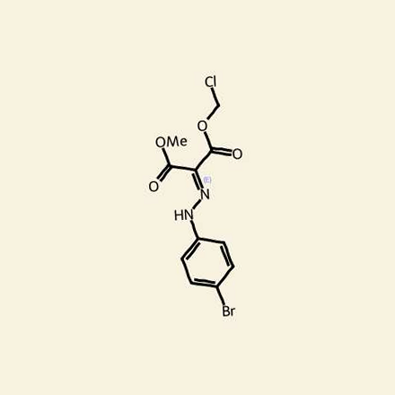 COC(=O)/C(=N\Nc1ccc(Br)cc1)C(=O)OCCl